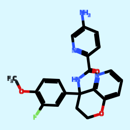 Nc1ccc(C(=O)NC2(c3ccc(OC(F)(F)F)c(F)c3)CCOc3cccnc32)nc1